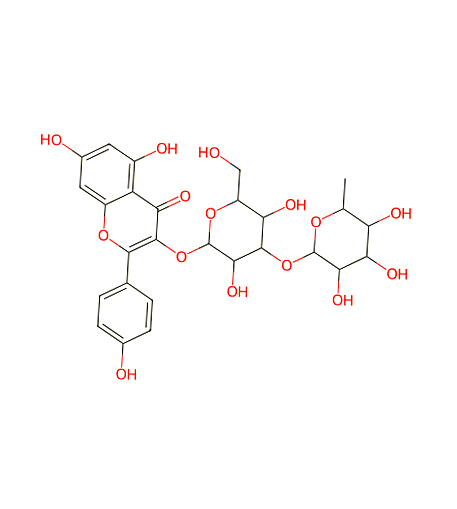 CC1OC(OC2C(O)C(CO)OC(Oc3c(-c4ccc(O)cc4)oc4cc(O)cc(O)c4c3=O)C2O)C(O)C(O)C1O